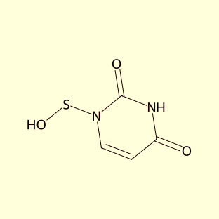 O=c1ccn(SO)c(=O)[nH]1